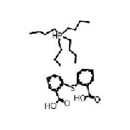 CCCC[PH](CCCC)(CCCC)CCCC.O=C(O)c1ccccc1Sc1ccccc1C(=O)O